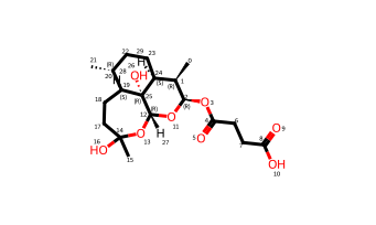 C[C@H]1[C@@H](OC(=O)CCC(=O)O)O[C@@H]2OC(C)(O)CC[C@H]3[C@H](C)CC[C@@H]1[C@@]23O